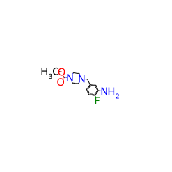 COC(=O)N1CCN(Cc2ccc(F)c(N)c2)CC1